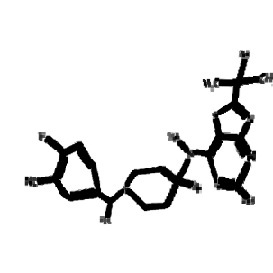 [2H]c1nc(N([2H])C2([2H])CCN(C([2H])c3ccc(F)c(C#N)c3)CC2)c2sc(C([2H])(C)C)nc2n1